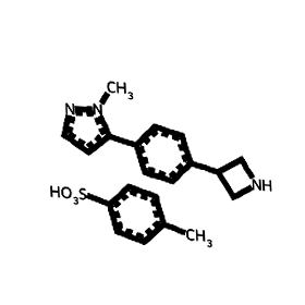 Cc1ccc(S(=O)(=O)O)cc1.Cn1nccc1-c1ccc(C2CNC2)cc1